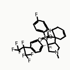 CN1CC(C2(C(=O)O)CC=CCC2)[C@](c2ccc(C(F)(C(F)(F)F)C(F)(F)F)cc2)(S(=O)(=O)c2ccc(F)cc2)C1